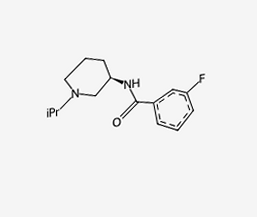 CC(C)N1CCC[C@@H](NC(=O)c2cccc(F)c2)C1